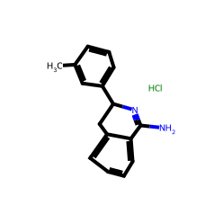 Cc1cccc(C2Cc3ccccc3C(N)=N2)c1.Cl